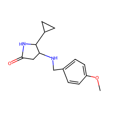 COc1ccc(CNC2CC(=O)NC2C2CC2)cc1